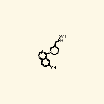 CSNCC1CCCN(c2ncnc3ccc(C#N)cc23)C1